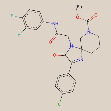 CC(C)(C)OC(=O)N1CCCC2(C1)N=C(c1ccc(Cl)cc1)C(=O)N2CC(=O)Nc1ccc(F)c(F)c1